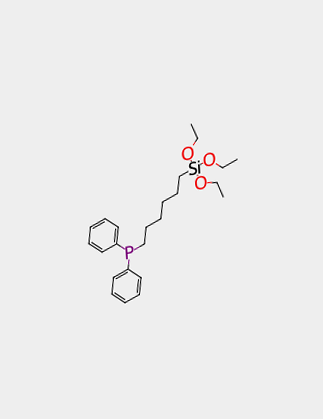 CCO[Si](CCCCCCP(c1ccccc1)c1ccccc1)(OCC)OCC